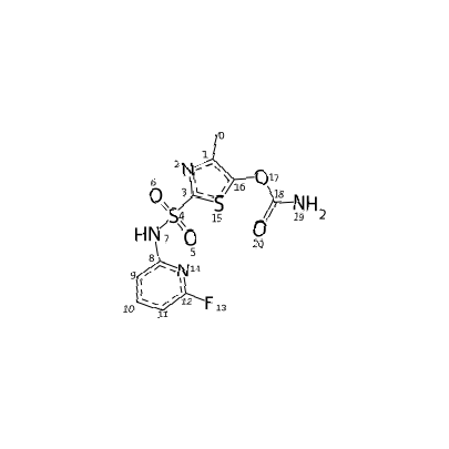 Cc1nc(S(=O)(=O)Nc2cccc(F)n2)sc1OC(N)=O